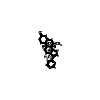 C[C@@H]1CC2CC(=O)CC[C@]2(C)[C@H]2CC[C@]3(C)C(c4ccncn4)=CC[C@H]3[C@H]12